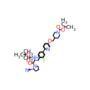 CC(C)OC(=O)N1CCC(COc2ccc(-c3ccc(C[C@H](NC(=O)OC(C)(C)C)C(=O)N4CCC[C@H]4C#N)c(F)c3)nc2)CC1